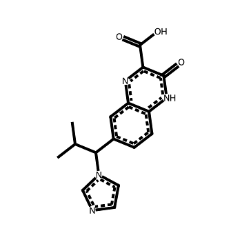 CC(C)C(c1ccc2[nH]c(=O)c(C(=O)O)nc2c1)n1ccnc1